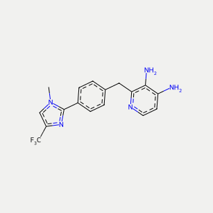 Cn1cc(C(F)(F)F)nc1-c1ccc(Cc2nccc(N)c2N)cc1